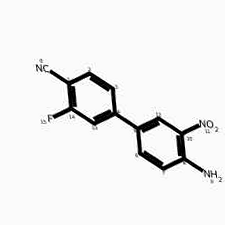 N#Cc1ccc(-c2ccc(N)c([N+](=O)[O-])c2)cc1F